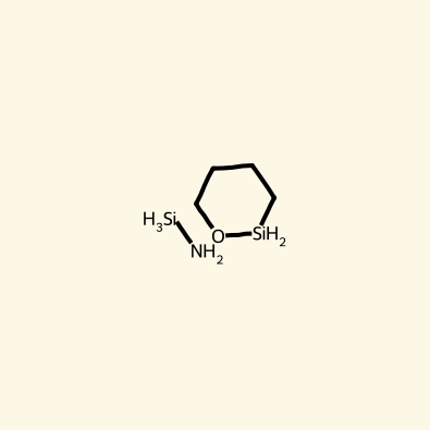 C1CC[SiH2]OC1.N[SiH3]